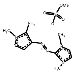 COS(=O)(=O)[O-].Cn1cc[n+](C)c1/N=N/c1cnn(C)c1N